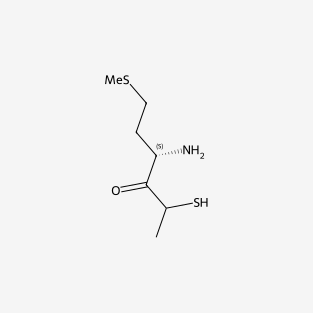 CSCC[C@H](N)C(=O)C(C)S